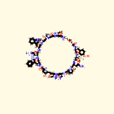 CCCC[C@H]1C(=O)N(C)[C@@H](CCCC)C(=O)N[C@@H](CC(C)C)C(=O)NCCOCC(=O)N[C@@H](Cc2ccc(O)cc2)C(=O)N(C)[C@@H](C)C(=O)N[C@@H](CC(N)=O)C(=O)N2CCC[C@H]2C(=O)N[C@@H](CN)C(=O)N[C@@H](CC(C)C)C(=O)C2N[C@@H](C[C@H]2O)C(=O)N[C@@H](Cc2c[nH]c3ccccc23)C(=O)N[C@@H](CCN)C(=O)N[C@@H](Cc2c[nH]c3ccccc23)C(=O)N1C